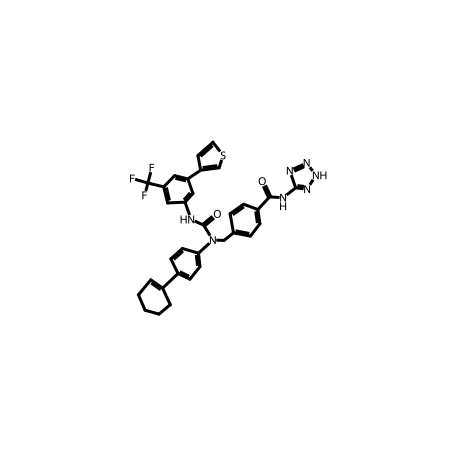 O=C(Nc1nn[nH]n1)c1ccc(CN(C(=O)Nc2cc(-c3ccsc3)cc(C(F)(F)F)c2)c2ccc(C3=CCCCC3)cc2)cc1